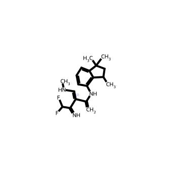 C=C(Nc1cccc2c1C(C)CC2(C)C)/C(=C/NC)C(=N)C(F)F